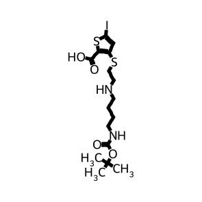 CC(C)(C)OC(=O)NCCCCNCCSc1cc(I)sc1C(=O)O